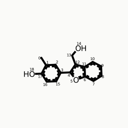 Cc1cc(-c2oc3ccccc3c2CO)ccc1O